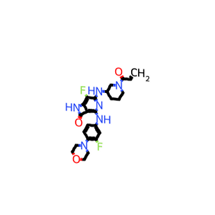 C=CC(=O)N1CCCC(Nc2nc(Nc3ccc(N4CCOCC4)c(F)c3)c3c(c2F)NC3=O)C1